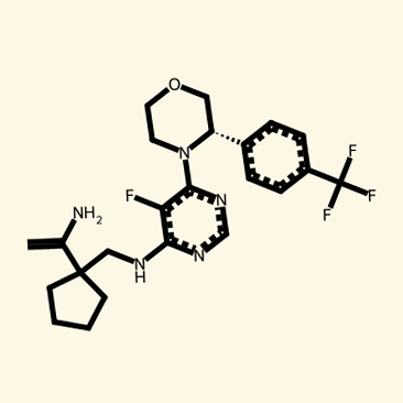 C=C(N)C1(CNc2ncnc(N3CCOC[C@@H]3c3ccc(C(F)(F)F)cc3)c2F)CCCC1